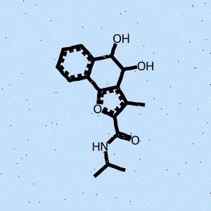 Cc1c(C(=O)NC(C)C)oc2c1C(O)C(O)c1ccccc1-2